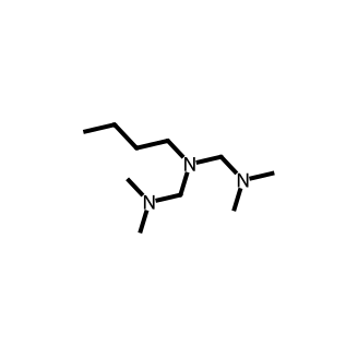 CCCCN(CN(C)C)CN(C)C